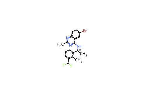 Cc1nc(N[C@@H](C)c2cccc(C(F)F)c2C)c2cc(Br)ccc2n1